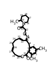 Cc1cc(C)c2c(c1)CC(=N/OCC(=O)N1CCCCC1C)/C=C/CC/C=C/CCOC2=O